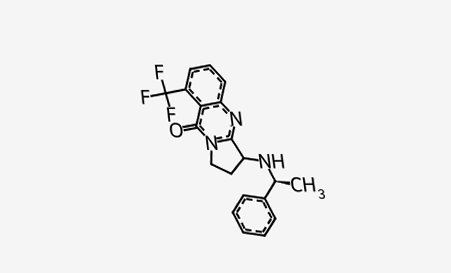 C[C@H](NC1CCn2c1nc1cccc(C(F)(F)F)c1c2=O)c1ccccc1